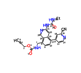 C#CCOC(=O)NCc1ccc(-c2ccnc(C#N)c2)c2cc(NC(=O)NCC)ncc12